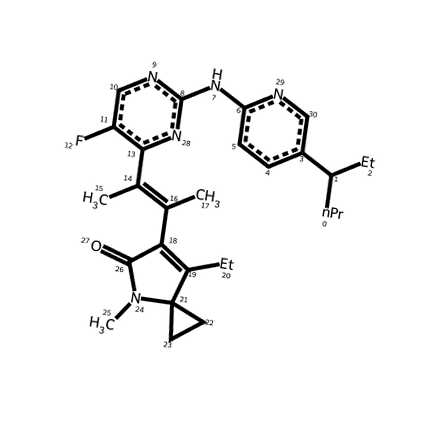 CCCC(CC)c1ccc(Nc2ncc(F)c(/C(C)=C(\C)C3=C(CC)C4(CC4)N(C)C3=O)n2)nc1